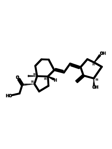 C=C1C(=CC=C2CCC[C@]3(C)[C@@H](C(=O)CO)CC[C@@H]23)C[C@@H](O)C[C@@H]1O